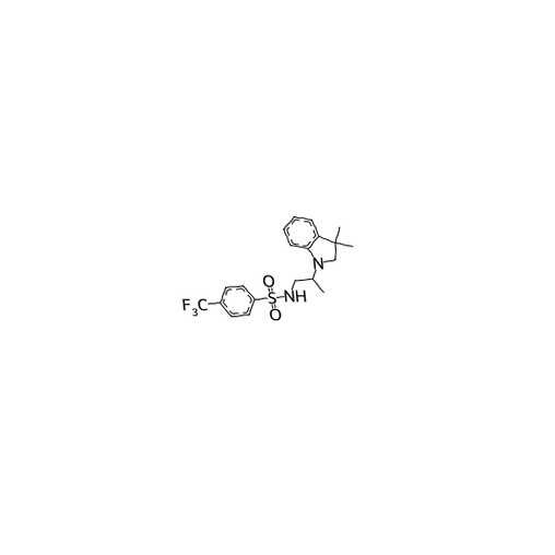 CC(CNS(=O)(=O)c1ccc(C(F)(F)F)cc1)N1CC(C)(C)c2ccccc21